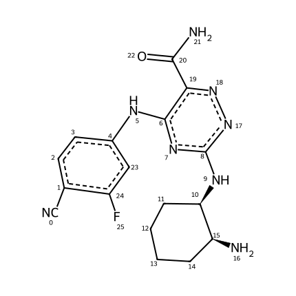 N#Cc1ccc(Nc2nc(N[C@@H]3CCCC[C@@H]3N)nnc2C(N)=O)cc1F